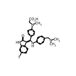 CN(C)Cc1ccc(NC(=C2C(=O)Nc3cc(F)ccc32)c2ccc(N(C)CC(=O)O)cc2)cc1